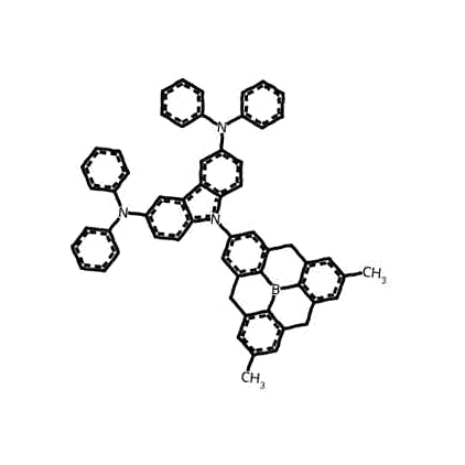 Cc1cc2c3c(c1)Cc1cc(-n4c5ccc(N(c6ccccc6)c6ccccc6)cc5c5cc(N(c6ccccc6)c6ccccc6)ccc54)cc4c1B3c1c(cc(C)cc1C4)C2